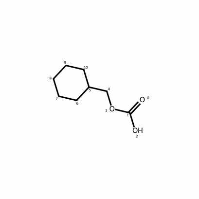 O=C(O)OCC1CCCCC1